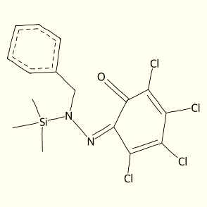 C[Si](C)(C)N(Cc1ccccc1)N=C1C(=O)C(Cl)=C(Cl)C(Cl)=C1Cl